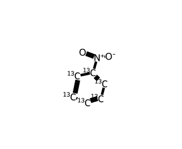 O=[N+]([O-])[13c]1[13cH][13cH][13cH][13cH][13cH]1